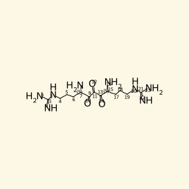 N=C(N)NCCC[C@H](N)C(=O)C(=O)C(=O)[C@@H](N)CCCNC(=N)N